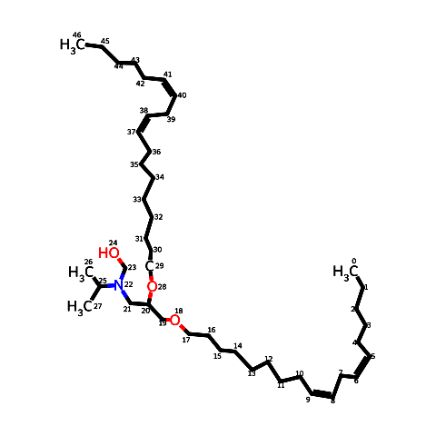 CCCCC/C=C\C/C=C\CCCCCCCCOCC(CN(CO)C(C)C)OCCCCCCCC/C=C\C/C=C\CCCCC